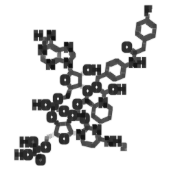 Nc1ccn([C@@H]2O[C@H](COP(=O)(O)O)[C@@H](OP(=O)(O)OC[C@H]3OC(n4cnc5c(N)ncnc54)[C@H](O)[C@@H]3OC(=O)[C@@H]3CCCCN3C(O)OCc3ccc(NC(=O)Cc4ccc(F)cc4)cc3)[C@H]2O)c(=O)n1